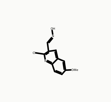 COc1ccc2nc(Cl)c(C=NO)cc2c1